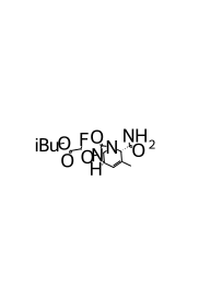 CCC(C)OC(=O)C(F)ON1C(=O)N2C[C@H]1C=C(C)[C@H]2C(N)=O